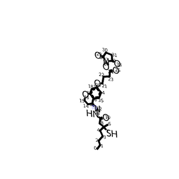 CCCCCC(C)(S)CC(=O)N/N=C1\CCOc2cc(OCCCC(=O)ON3C(=O)CCC3=O)ccc21